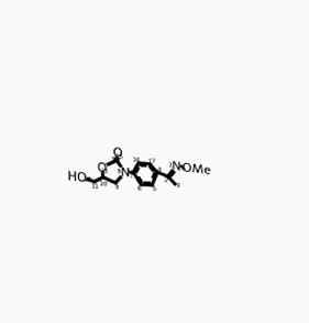 CON=C(C)c1ccc(N2CC(CO)OC2=O)cc1